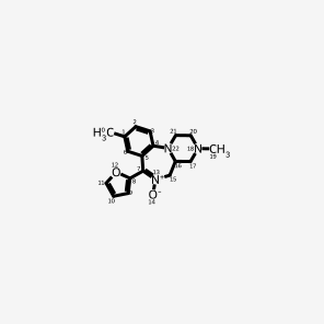 Cc1ccc2c(c1)C(c1ccco1)=[N+]([O-])CC1CN(C)CCN21